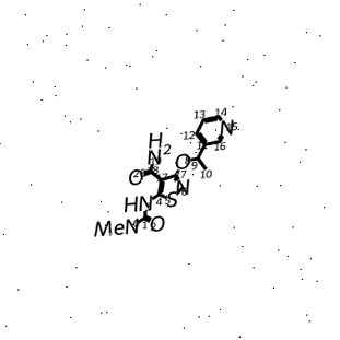 CNC(=O)Nc1snc(OC(C)c2cccnc2)c1C(N)=O